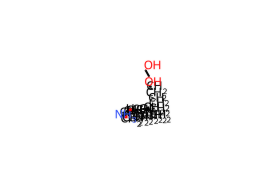 C=C.C=C.C=C.C=C.C=C.C=C.C=C.C=C.C=C.C=C.N.OCCO